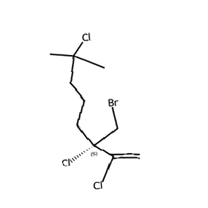 C=C(Cl)[C@](Cl)(CBr)CCCC(C)(C)Cl